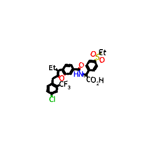 CCc1c(Cc2ccc(Cl)cc2C(F)(F)F)oc2cc(C(=O)N[C@@H](C(=O)O)c3ccc(S(=O)(=O)CC)cc3)ccc12